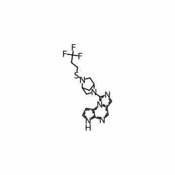 FC(F)(F)CCSN1CC2CC1CN2c1ncc2cnc3[nH]ccc3n12